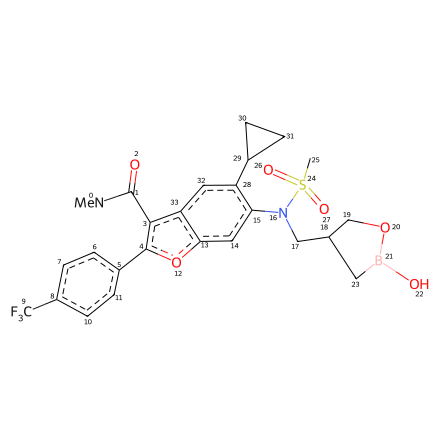 CNC(=O)c1c(-c2ccc(C(F)(F)F)cc2)oc2cc(N(CC3COB(O)C3)S(C)(=O)=O)c(C3CC3)cc12